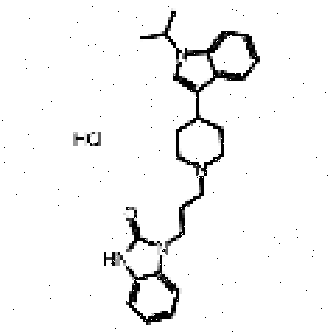 CC(C)n1cc(C2CCN(CCCn3c(=O)[nH]c4ccccc43)CC2)c2ccccc21.Cl